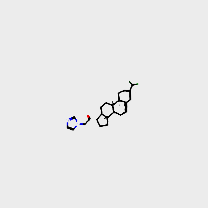 C[C@]12CC[C@H]3[C@@H](CC=C4C[C@](O)(C(F)F)CC[C@@H]43)[C@@H]1CC[C@@H]2C(=O)Cn1ccnc1